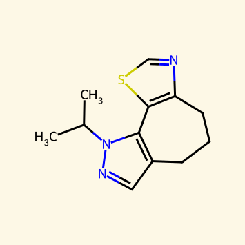 CC(C)n1ncc2c1-c1scnc1CCC2